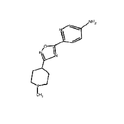 CN1CCC(c2noc(-c3ccc(N)cn3)n2)CC1